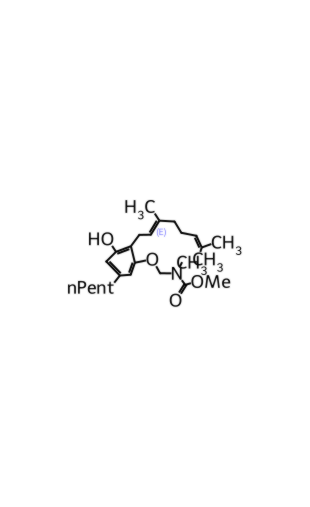 CCCCCc1cc(O)c(C/C=C(\C)CCC=C(C)C)c(OCN(C)C(=O)OC)c1